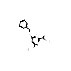 Cc1cc(NCc2ccccc2)nc(C(N)=O)n1